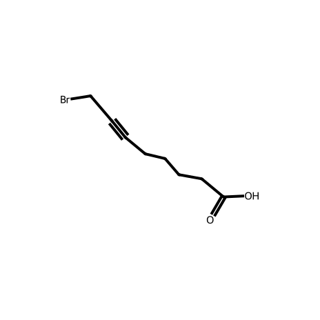 O=C(O)CCCCC#CCBr